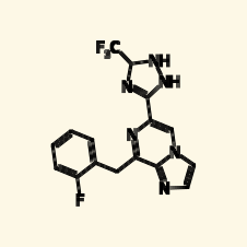 Fc1ccccc1Cc1nc(C2=NC(C(F)(F)F)NN2)cn2ccnc12